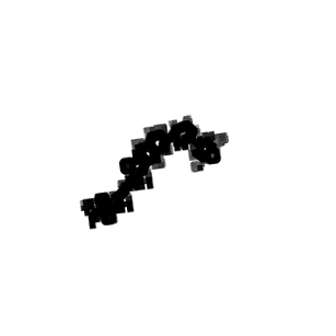 C[C@@H]1CN(c2cccc(-c3ccc4cnc(CC(=O)NCCCNS(=O)(=O)C(F)F)cc4c3)n2)C[C@H](C)O1